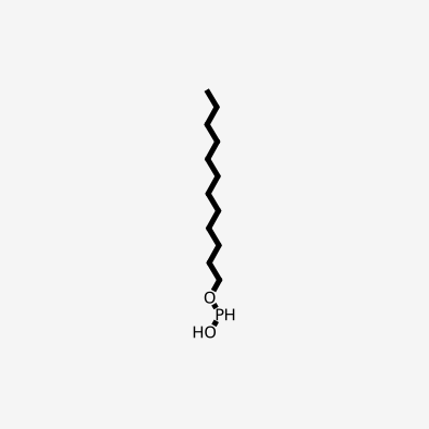 CCCCCCCCCCCCOPO